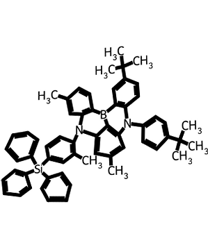 Cc1ccc2c(c1)N(c1ccc([Si](c3ccccc3)(c3ccccc3)c3ccccc3)cc1C)c1cc(C)cc3c1B2c1cc(C(C)(C)C)ccc1N3c1ccc(C(C)(C)C)cc1